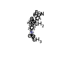 C=C1N(c2ccc(C#N)c(C(F)(F)F)c2)C(=O)C2(CCC2)N1c1ccc(/C=C/C(=O)OCC)cc1